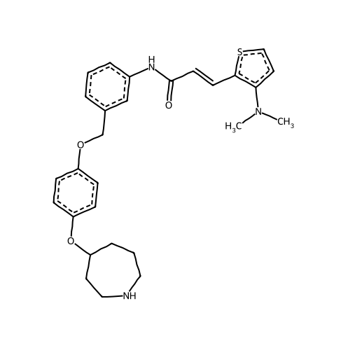 CN(C)c1ccsc1/C=C/C(=O)Nc1cccc(COc2ccc(OC3CCCNCC3)cc2)c1